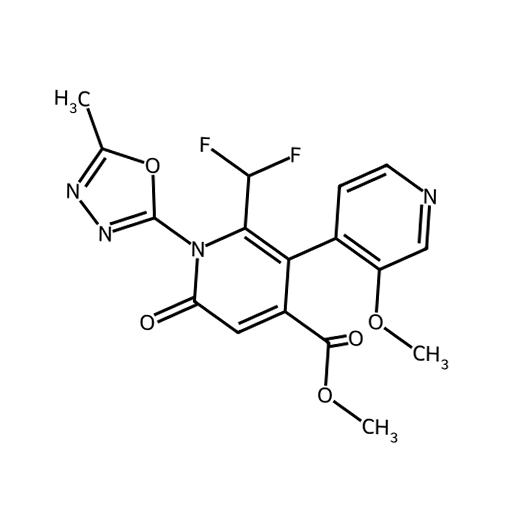 COC(=O)c1cc(=O)n(-c2nnc(C)o2)c(C(F)F)c1-c1ccncc1OC